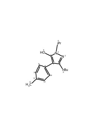 CCCCc1nn(C(C)C)c(O)c1-c1ccc(C)cc1